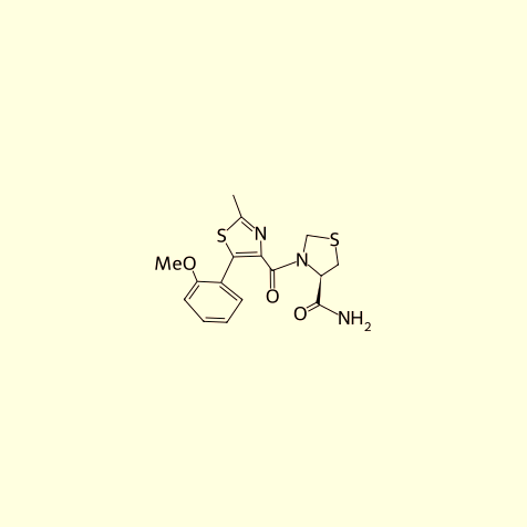 COc1ccccc1-c1sc(C)nc1C(=O)N1CSC[C@H]1C(N)=O